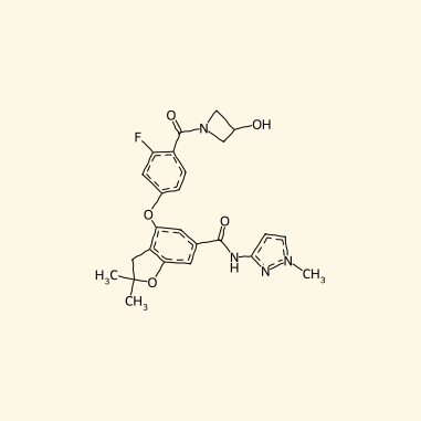 Cn1ccc(NC(=O)c2cc(Oc3ccc(C(=O)N4CC(O)C4)c(F)c3)c3c(c2)OC(C)(C)C3)n1